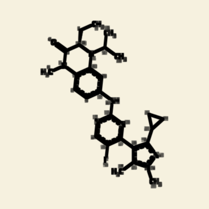 CC[C@@H]1C(=O)N(C)c2ccc(Nc3ncc(F)c(-c4c(C5CC5)nn(C)c4C)n3)cc2N1C(C)C